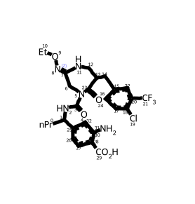 CCCC(NC(=O)N1C/C(=N/OCC)NCC(Cc2ccc(Cl)c(C(F)(F)F)c2)C1=O)c1ccc(C(=O)O)c(N)c1